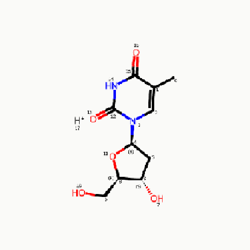 Cc1cn([C@H]2C[C@H](O)[C@@H](CO)O2)c(=O)[nH]c1=O.[H+]